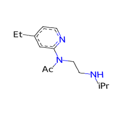 CCc1ccnc(N(CCNC(C)C)C(C)=O)c1